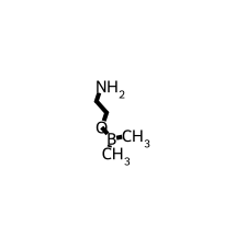 CB(C)OCCN